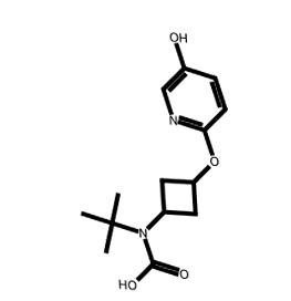 CC(C)(C)N(C(=O)O)C1CC(Oc2ccc(O)cn2)C1